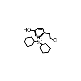 C1CCC([SiH2]C2CCCCC2)CC1.Oc1ccc(CCCl)cc1